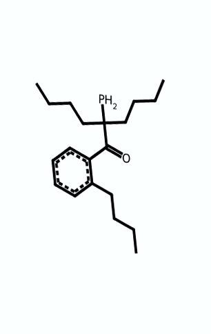 CCCCc1ccccc1C(=O)C(P)(CCCC)CCCC